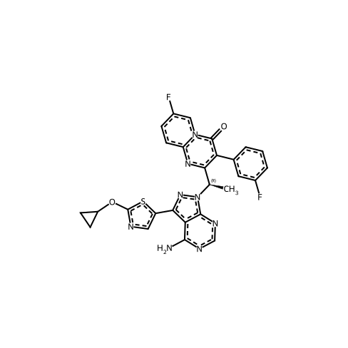 C[C@H](c1nc2ccc(F)cn2c(=O)c1-c1cccc(F)c1)n1nc(-c2cnc(OC3CC3)s2)c2c(N)ncnc21